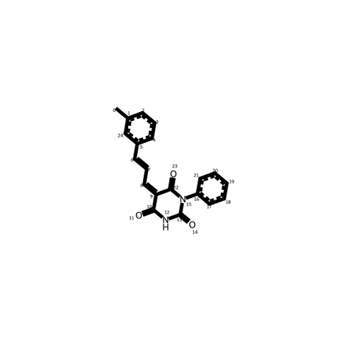 Cc1cccc(/C=C/C=C2/C(=O)NC(=O)N(c3ccccc3)C2=O)c1